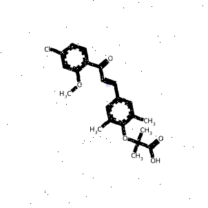 COc1cc(Cl)ccc1C(=O)/C=C/c1cc(C)c(OC(C)(C)C(=O)O)c(C)c1